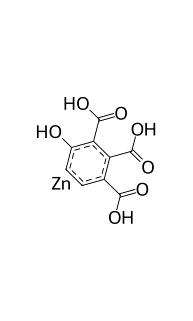 O=C(O)c1ccc(O)c(C(=O)O)c1C(=O)O.[Zn]